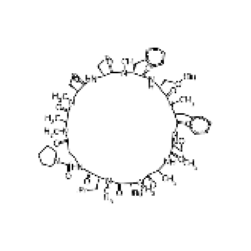 CC[C@H](C)[C@H]1C(=O)N(C)[C@@H](CC(C)C)C(=O)N[C@H](C(=O)N2CCCCC2)CC(=O)N(C)C(C)C(=O)N(C)[C@@H](CC(C)C)C(=O)N[C@@H](CC(C)C)C(=O)N(C)[C@@H](Cc2ccccc2)C(=O)N[C@@H](COC(C)(C)C)C(=O)N(C)[C@@H](Cc2ccccc2)C(=O)N[C@]2(O[C@@H]2C)C(=O)N[C@@H](C)C(=O)N1C